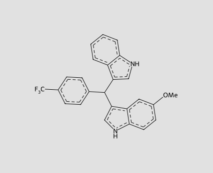 COc1ccc2[nH]cc(C(c3ccc(C(F)(F)F)cc3)c3c[nH]c4ccccc34)c2c1